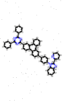 c1ccc(-c2nc(-c3ccccc3)nc(-c3ccc4c5ccc(-c6ccc(-n7c(-c8ccccn8)nc8ccccc87)cc6)cc5c5ccccc5c4c3)n2)cc1